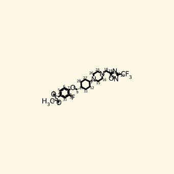 CS(=O)(=O)c1ccc(OC[C@H]2CC[C@H](N3CCN(Cc4nc(C(F)(F)F)no4)CC3)CC2)c(F)c1